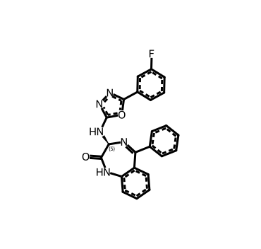 O=C1Nc2ccccc2C(c2ccccc2)=N[C@@H]1Nc1nnc(-c2cccc(F)c2)o1